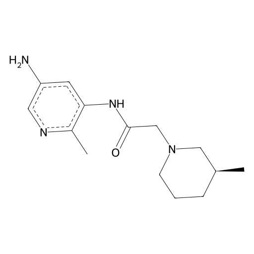 Cc1ncc(N)cc1NC(=O)CN1CCC[C@H](C)C1